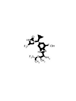 C[C@@H](O[C@H](C)C(F)(F)F)[C@H](N)c1nc2c(F)cc([C@@H](C3CC3)N3CC(C(F)(F)F)NC3=O)cc2[nH]1.Cl